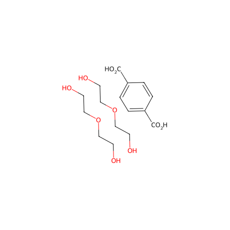 O=C(O)c1ccc(C(=O)O)cc1.OCCOCCO.OCCOCCO